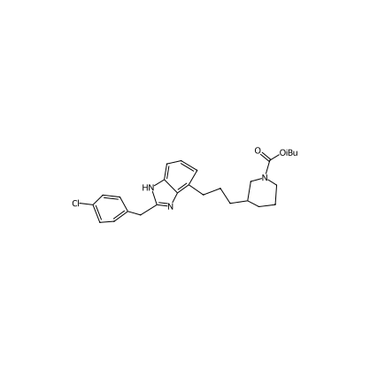 CC(C)COC(=O)N1CCCC(CCCc2cccc3[nH]c(Cc4ccc(Cl)cc4)nc23)C1